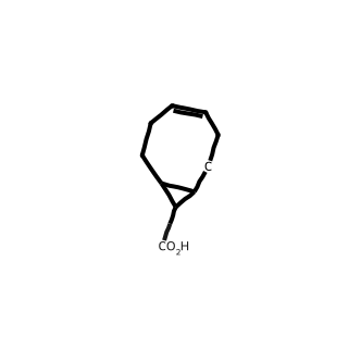 O=C(O)C1C2CC/C=C\CCC21